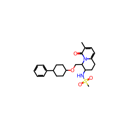 Cc1ccc2n(c1=O)C(COC1CCC(c3ccccc3)CC1)C(NS(C)(=O)=O)CC2